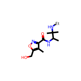 CCNC(C)(C)C(C)NC(=O)c1noc(CO)c1C